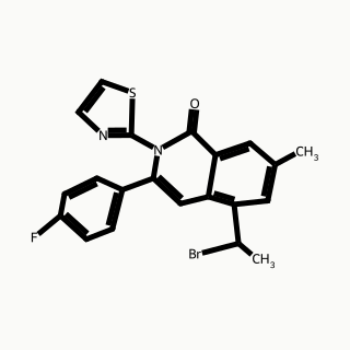 Cc1cc(C(C)Br)c2cc(-c3ccc(F)cc3)n(-c3nccs3)c(=O)c2c1